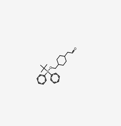 CC(C)(C)[Si](OCC1CCC(CC=O)CC1)(c1ccccc1)c1ccccc1